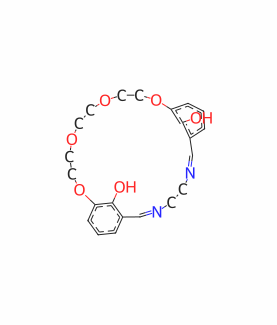 Oc1c2cccc1OCCOCCOCCOc1cccc(c1O)C=NCCN=C2